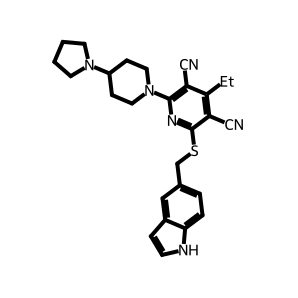 CCc1c(C#N)c(SCc2ccc3[nH]ccc3c2)nc(N2CCC(N3CCCC3)CC2)c1C#N